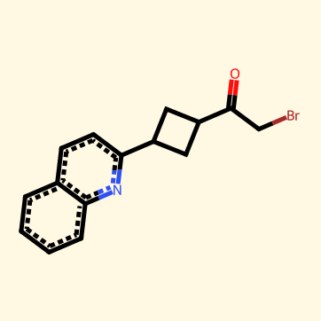 O=C(CBr)C1CC(c2ccc3ccccc3n2)C1